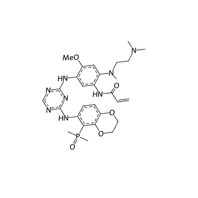 C=CC(=O)Nc1cc(Nc2ncnc(Nc3ccc4c(c3P(C)(C)=O)OCCO4)n2)c(OC)cc1N(C)CCN(C)C